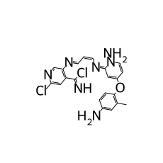 Cc1cc(N)ccc1Oc1ccn(N)\c(=N/C=C\C=N\c2cnc(Cl)cc2C(=N)Cl)c1